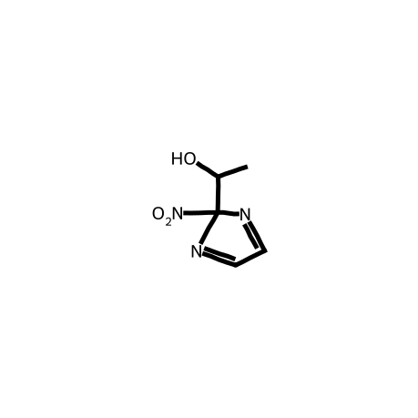 CC(O)C1([N+](=O)[O-])N=CC=N1